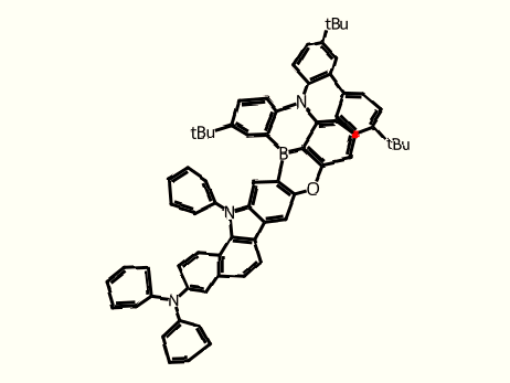 CC(C)(C)c1ccc(-c2cc(C(C)(C)C)ccc2N2c3ccc(C(C)(C)C)cc3B3c4cc5c(cc4Oc4cccc2c43)c2ccc3cc(N(c4ccccc4)c4ccccc4)ccc3c2n5-c2ccccc2)cc1